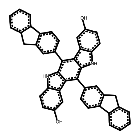 Oc1ccc2[nH]c3c(-c4ccc5c(c4)Cc4ccccc4-5)c4c([nH]c5ccc(O)cc54)c(-c4ccc5c(c4)Cc4ccccc4-5)c3c2c1